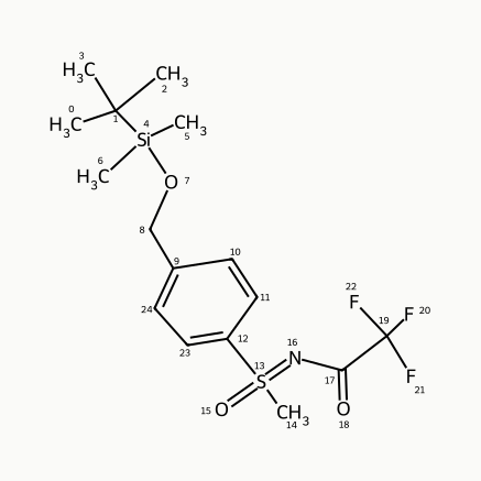 CC(C)(C)[Si](C)(C)OCc1ccc(S(C)(=O)=NC(=O)C(F)(F)F)cc1